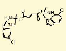 CC(N)(Cn1ccc2ccc(Cl)cc21)OC(=O)/C=C/C(=O)OC(C)(N)Cn1ccc2ccc(Cl)cc21